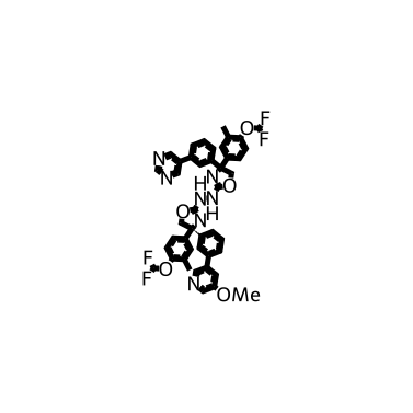 COc1cncc(-c2cccc([C@]3(c4ccc(OC(F)F)c(C)c4)COC(NNC4=NC(c5cccc(-c6cncnc6)c5)(c5ccc(OC(F)F)c(C)c5)CO4)=N3)c2)c1